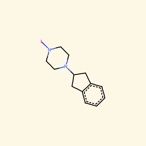 IN1CCN(C2Cc3ccccc3C2)CC1